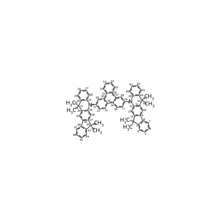 CC1(C)c2ccccc2-c2cc3c(cc21)N(c1ccc2c4ccc(N5c6ccccc6C(C)(C)c6cc7c(cc65)C(C)(C)c5ccccc5-7)cc4c4ccccc4c2c1)c1ccccc1C3(C)C